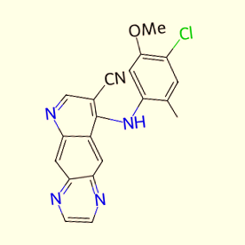 COc1cc(Nc2c(C#N)cnc3cc4nccnc4cc23)c(C)cc1Cl